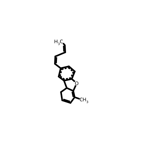 C/C=C\C=C/c1ccc2c(c1)C1CC=CC(C)=C1O2